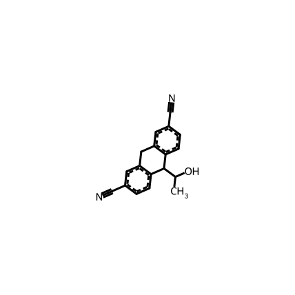 CC(O)C1c2ccc(C#N)cc2Cc2cc(C#N)ccc21